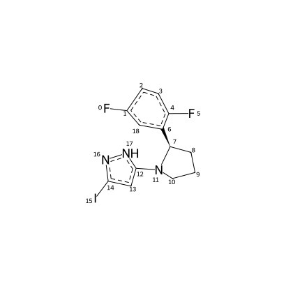 Fc1ccc(F)c([C@H]2CCCN2c2cc(I)n[nH]2)c1